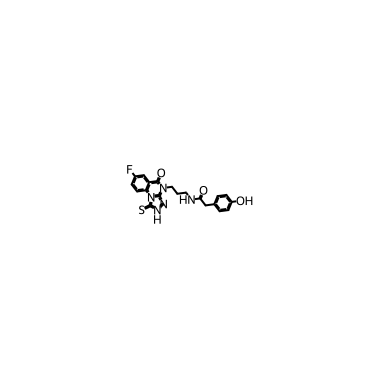 O=C(Cc1ccc(O)cc1)NCCCn1c(=O)c2cc(F)ccc2n2c(=S)[nH]nc12